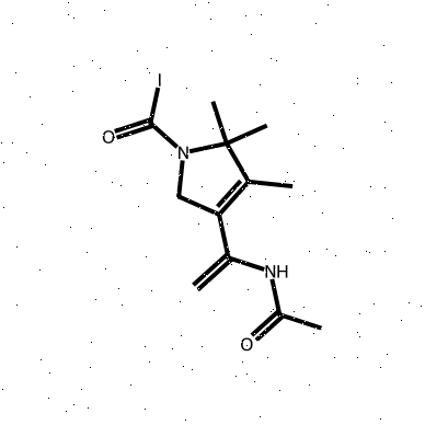 C=C(NC(C)=O)C1=C(C)C(C)(C)N(C(=O)I)C1